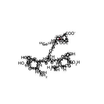 N=C(N)NCCC[C@@H]1NC(=O)[C@H](CCCCNC(=O)[C@H](CCC(=O)NCCCC[C@@H]2NC(=O)[C@@H](Cc3ccc(O)cc3)NC(=O)[C@H](CC(=O)O)NC(=O)CNC(=O)[C@H](CCCNC(=N)N)NC2=O)NC(=O)COCCOCCOCCNC(=S)Nc2ccc(CC3CN(CC(=O)[O-])CCN(CC(=O)[O-])CCN3CC(=O)[O-])cc2)NC(=O)[C@H](Cc2ccc(O)cc2)NC(=O)[C@@H](CC(=O)O)NC(=O)CNC1=O.[68Ga+3]